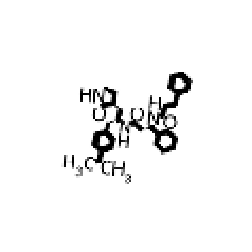 CC(C)c1ccc(C[C@H](C[C@@H]2CCNC2=O)NC(=O)C[C@H](NC(=O)C=Cc2ccccc2)C2CCCCC2)cc1